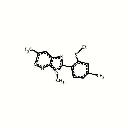 CCSc1cc(C(F)(F)F)ccc1-c1nc2cc(C(F)(F)F)nnc2n1C